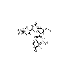 Cc1cc([C@@H](C)Nc2ccc(Cl)c(F)c2C(=O)O)c2oc(N3CCC(C)(C)CC3)cc(=O)c2c1